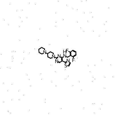 Fc1cccc(F)c1CNc1nc(N2CCC(N3CCCCC3)CC2)ncc1-c1nccs1